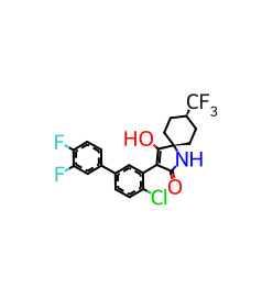 O=C1N[C@]2(CC[C@H](C(F)(F)F)CC2)C(O)=C1c1cc(-c2ccc(F)c(F)c2)ccc1Cl